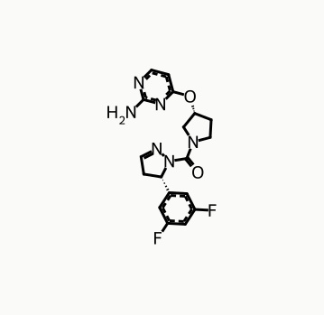 Nc1nccc(O[C@@H]2CCN(C(=O)N3N=CC[C@H]3c3cc(F)cc(F)c3)C2)n1